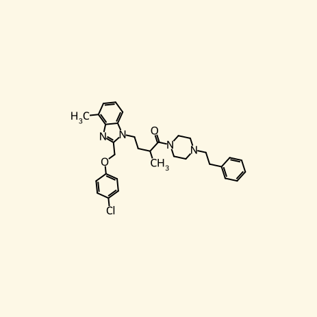 Cc1cccc2c1nc(COc1ccc(Cl)cc1)n2CCC(C)C(=O)N1CCN(CCc2ccccc2)CC1